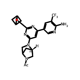 CC(=O)N1C[C@@H]2CC1CN2c1cc(-c2cnc(N)c(C(F)(F)F)c2)nc(N2CC3CC2C3)n1